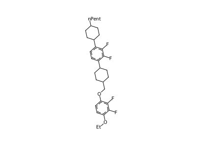 CCCCCC1CCC(c2ccc(C3CCC(COc4ccc(OCC)c(F)c4F)CC3)c(F)c2F)CC1